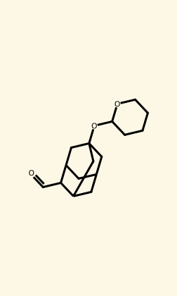 O=CC1C2CC3CC1CC(OC1CCCCO1)(C3)C2